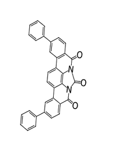 O=c1c2ccc(-c3ccccc3)cc2c2ccc3c4cc(-c5ccccc5)ccc4c(=O)n4c(=O)n1c2c34